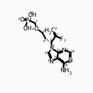 C=C(F)[C@@H](CCOCP(=O)(O)O)n1cnc2c(N)ncnc21